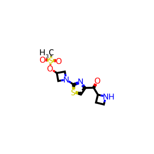 CS(=O)(=O)OC1CN(c2nc(C(=O)C3CCN3)cs2)C1